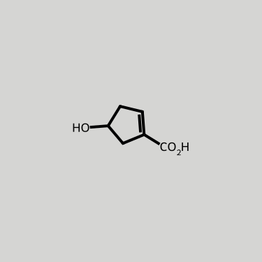 O=C(O)C1=CCC(O)C1